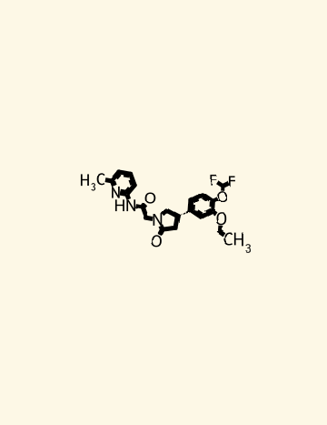 CCOc1cc([C@@H]2CC(=O)N(CC(=O)Nc3cccc(C)n3)C2)ccc1OC(F)F